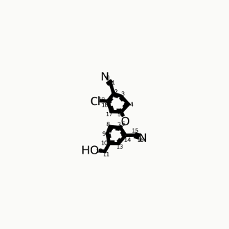 N#Cc1ccc(Oc2ccc(CO)cc2C#N)cc1Cl